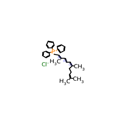 CC(C)=CCC\C(C)=C/C=C/C(C)=C/C[P+](c1ccccc1)(c1ccccc1)c1ccccc1.[Cl-]